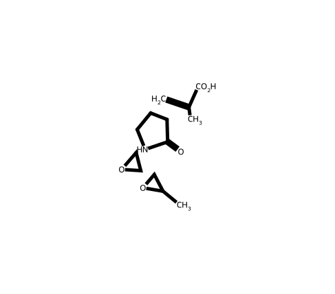 C1CO1.C=C(C)C(=O)O.CC1CO1.O=C1CCCN1